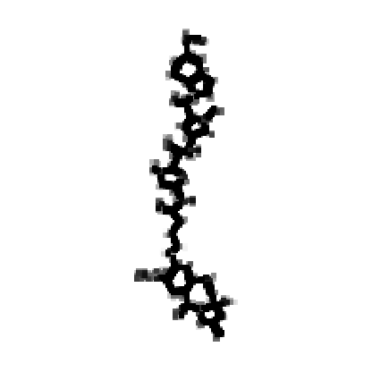 C=C1C[C@H]2C=Nc3cc(OCCCC(=O)Nc4cn(C)c(C(=O)Nc5cc(C(=O)n6ccc7cc(OC)ccc76)n(C)c5)n4)c(OC)cc3C(=O)N2C1